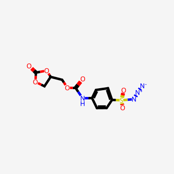 [N-]=[N+]=NS(=O)(=O)c1ccc(NC(=O)OCC2COC(=O)O2)cc1